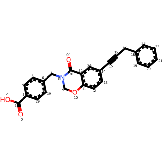 O=C(O)c1ccc(CN2COc3ccc(C#CCc4ccccc4)cc3C2=O)cc1